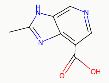 Cc1nc2c(C(=O)O)cncc2[nH]1